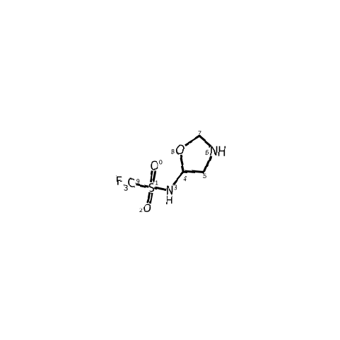 O=S(=O)(NC1CNCO1)C(F)(F)F